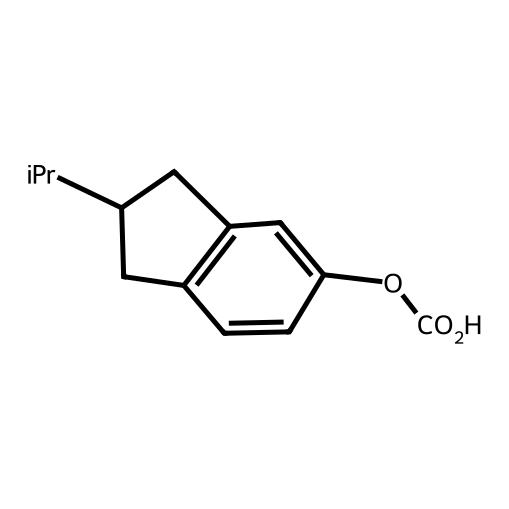 CC(C)C1Cc2ccc(OC(=O)O)cc2C1